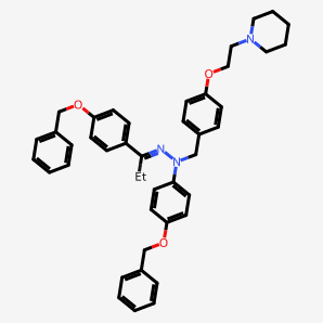 CCC(=NN(Cc1ccc(OCCN2CCCCC2)cc1)c1ccc(OCc2ccccc2)cc1)c1ccc(OCc2ccccc2)cc1